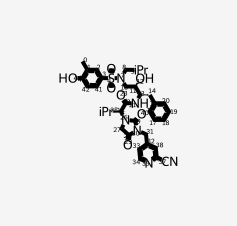 Cc1cc(S(=O)(=O)N(CC(C)C)C[C@H](O)[C@H](Cc2ccccc2)NC(=O)[C@H](C(C)C)N2CC(=O)N(Cc3ccnc(C#N)c3)C2=O)ccc1O